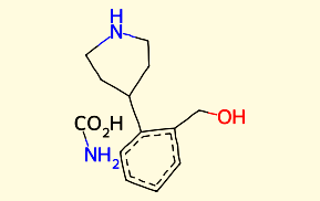 NC(=O)O.OCc1ccccc1C1CCNCC1